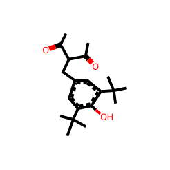 CC(=O)C(Cc1cc(C(C)(C)C)c(O)c(C(C)(C)C)c1)C(C)=O